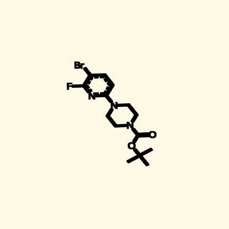 CC(C)(C)OC(=O)N1CCN(c2ccc(Br)c(F)n2)CC1